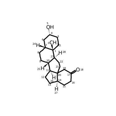 C[C@]12CC[C@@H](O)C[C@H]1CC[C@H]1[C@@H]3CC[C@@H]4CCC(=O)CC43CC[C@@H]12